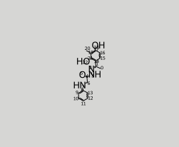 C/C(=N\NC(=O)CNc1ccccc1)c1ccc(O)c(C)c1O